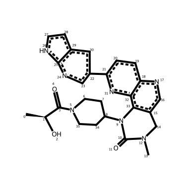 C[C@H](O)C(=O)N1CCC(N2C(=O)N(C)Cc3cnc4ccc(-c5cnc6[nH]ccc6c5)nc4c32)CC1